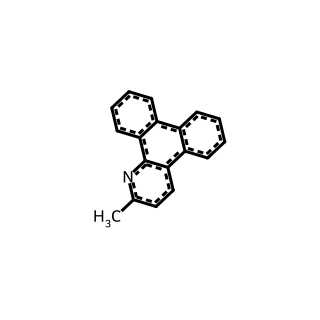 Cc1ccc2c3ccccc3c3ccccc3c2n1